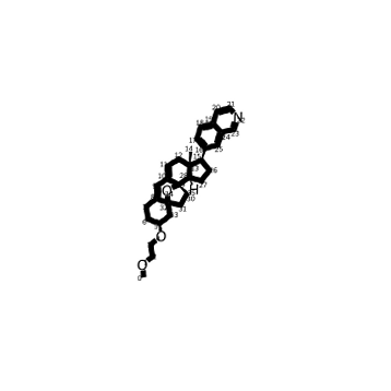 COCCO[C@H]1CCC2=CC3=CC[C@]4(C)[C@@H](c5ccc6ccncc6c5)CC[C@H]4[C@@]34CCC2(C1)O4